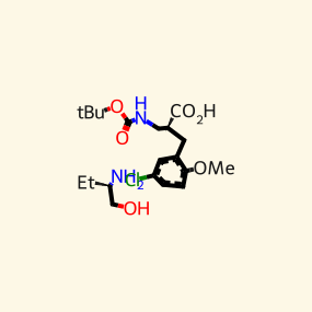 CC[C@@H](N)CO.COc1ccc(Cl)cc1C[C@@H](CNC(=O)OC(C)(C)C)C(=O)O